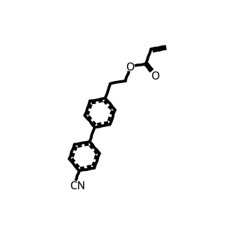 C=CC(=O)OCCc1ccc(-c2ccc(C#N)cc2)cc1